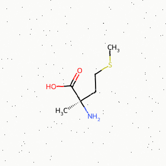 CSCC[C@@](C)(N)C(=O)O